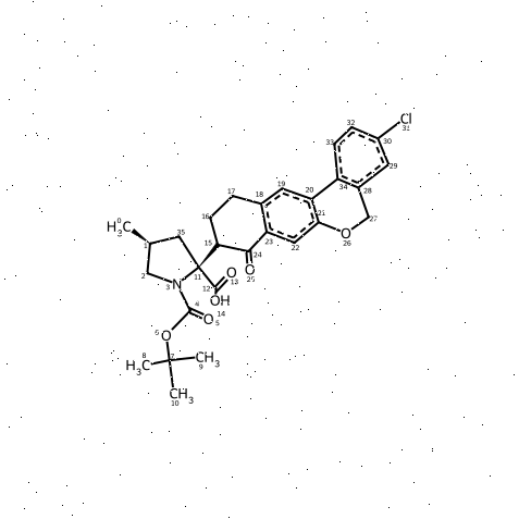 C[C@@H]1CN(C(=O)OC(C)(C)C)[C@](C(=O)O)(C2CCc3cc4c(cc3C2=O)OCc2cc(Cl)ccc2-4)C1